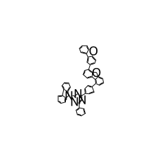 c1ccc(-c2nc(-c3ccc(-c4cccc5oc6c(-c7ccc8oc9ccccc9c8c7)cccc6c45)cc3)nc(-n3c4ccccc4c4ccccc43)n2)cc1